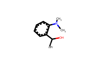 CCCC(O)c1ccccc1N(C)C